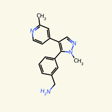 Cc1cc(-c2cnn(C)c2-c2cccc(CN)c2)ccn1